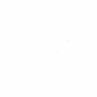 COc1ccc(C(=O)Nc2ccc(C[N+](C)(C)C3CCCCC3)cc2)cc1Cl.[I-]